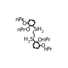 CCCOc1cccc([SiH2]CC[SiH2]c2cccc(OCCC)c2OCCC)c1OCCC